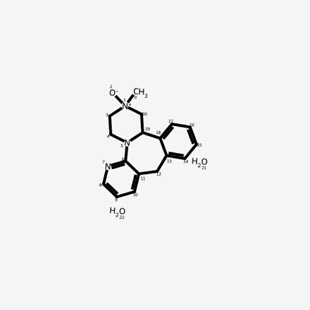 C[N+]1([O-])CCN2c3ncccc3Cc3ccccc3C2C1.O.O